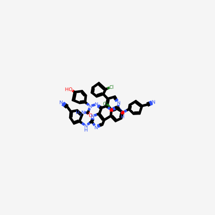 N#Cc1ccc(Nc2ncc(-c3ccccc3Cl)c(C(=NN(C(N)=O)c3ccc(O)cc3)c3nc(Nc4ccc(C#N)cc4)ncc3-c3ccccc3Cl)n2)cc1